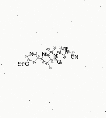 CCOC1CN=CC(C2CC(C)C3C(=O)N(C4C=NN(CC#N)C4)C(C)(C)C3=N2)C1